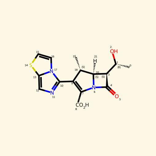 C[C@@H](O)[C@H]1C(=O)N2C(C(=O)O)=C(c3ncc4sccn34)[C@H](C)[C@@H]12